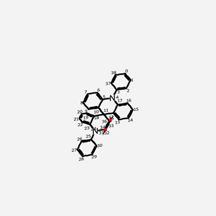 c1ccc(N2c3ccccc3C3(c4ccccc42)c2ccccc2N(c2ccccc2)c2ccccc23)cc1